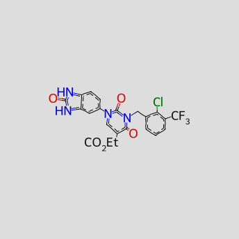 CCOC(=O)c1cn(-c2ccc3[nH]c(=O)[nH]c3c2)c(=O)n(Cc2cccc(C(F)(F)F)c2Cl)c1=O